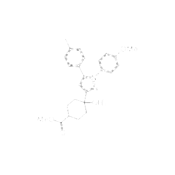 COC(=O)C1CCC(O)(c2cc(-c3ccc(C)cc3)n(-c3ccc(OC)cc3)n2)CC1